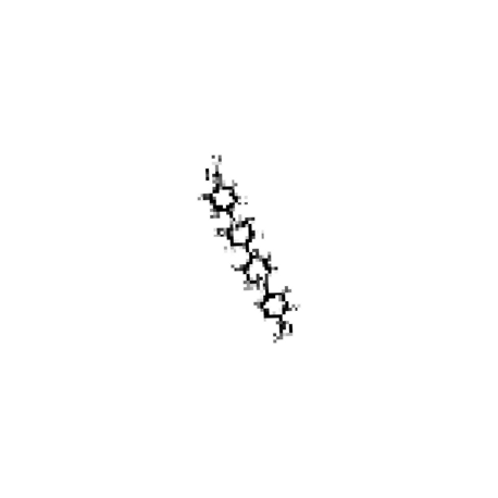 COc1ccc(N2C=CC(c3cc[n+](-c4ccc(OC)cc4)cc3)=CC2)cc1